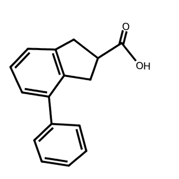 O=C(O)C1Cc2cccc(-c3ccccc3)c2C1